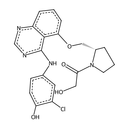 O=C(CO)N1CCC[C@H]1COc1cccc2ncnc(Nc3ccc(O)c(Cl)c3)c12